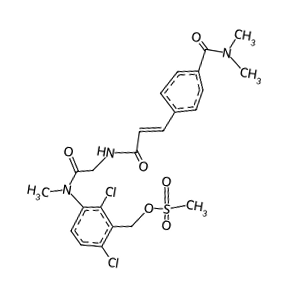 CN(C)C(=O)c1ccc(C=CC(=O)NCC(=O)N(C)c2ccc(Cl)c(COS(C)(=O)=O)c2Cl)cc1